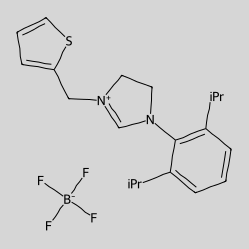 CC(C)c1cccc(C(C)C)c1N1C=[N+](Cc2cccs2)CC1.F[B-](F)(F)F